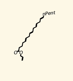 C=CCOC(=O)CCCC=CCC=CCC=CCC=CCCCCC